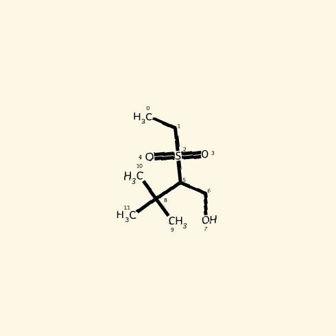 CCS(=O)(=O)C(CO)C(C)(C)C